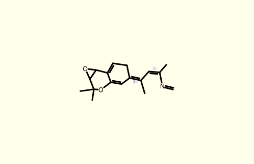 C=N/C(C)=C\C(C)=C1\C=C2OC(C)(C)C3OC3C2=CC1